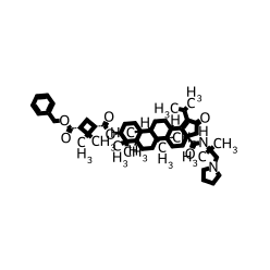 CC(C)C1=C2[C@H]3CC[C@@H]4[C@@]5(C)CC[C@H](OC(=O)[C@H]6C[C@@H](C(=O)OCc7ccccc7)C6(C)C)C(C)(C)[C@@H]5CC[C@@]4(C)[C@]3(C)CC[C@@]2(C(=O)NC(C)(C)CN2CCCC2)CC1=O